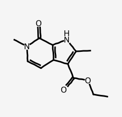 CCOC(=O)c1c(C)[nH]c2c(=O)n(C)ccc12